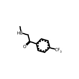 CBCC(=O)c1ccc(C(F)(F)F)cc1